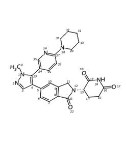 Cn1ncc(-c2ccc3c(c2)CN([C@H]2CCC(=O)NC2=O)C3=O)c1-c1ccc(N2CCCCC2)nc1